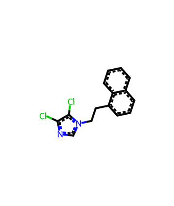 Clc1ncn(CCc2cccc3ccccc23)c1Cl